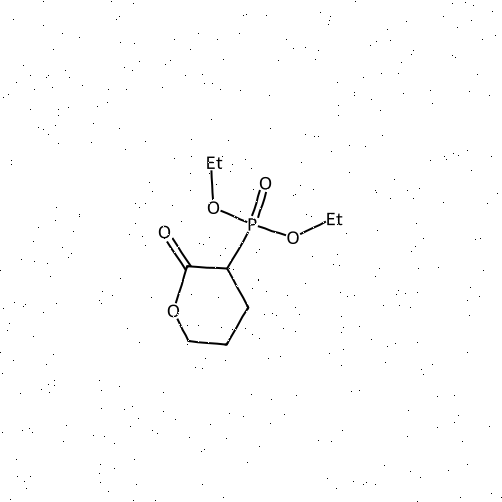 CCOP(=O)(OCC)C1CCCOC1=O